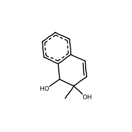 CC1(O)C=Cc2ccccc2C1O